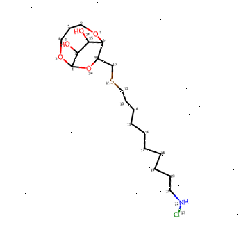 OC1C2OCCCOC(C(CSCCCCCCCCCCNCl)O2)C1O